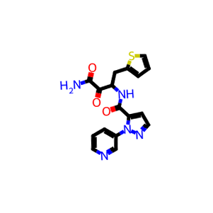 NC(=O)C(=O)C(Cc1cccs1)NC(=O)c1ccnn1-c1cccnc1